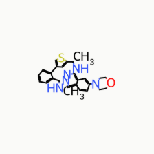 CNCc1ccccc1-c1csc([C@H](C)Nc2nncc3ccc(N4CCOCC4)cc23)c1